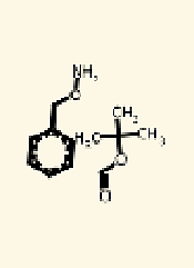 CC(C)(C)OC=O.NOCc1ccccc1